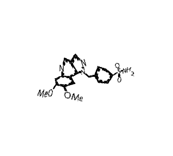 COc1cc2ncc3cnn(Cc4ccc(S(N)(=O)=O)cc4)c3c2cc1OC